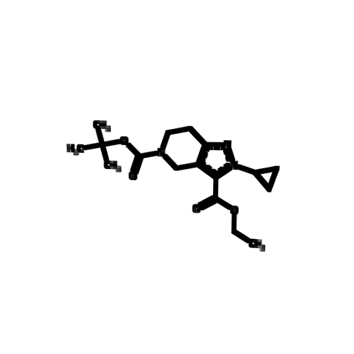 CCOC(=O)c1c2c(nn1C1CC1)CCN(C(=O)OC(C)(C)C)C2